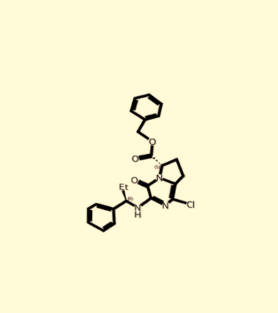 CC[C@@H](Nc1nc(Cl)c2n(c1=O)[C@H](C(=O)OCc1ccccc1)CC2)c1ccccc1